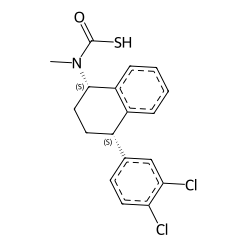 CN(C(=O)S)[C@H]1CC[C@@H](c2ccc(Cl)c(Cl)c2)c2ccccc21